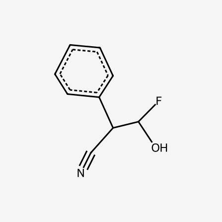 N#CC(c1ccccc1)C(O)F